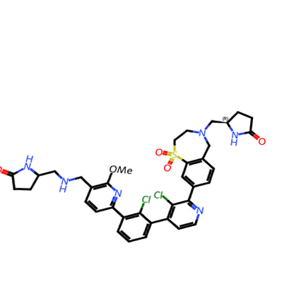 COc1nc(-c2cccc(-c3ccnc(-c4ccc5c(c4)S(=O)(=O)CCN(C[C@H]4CCC(=O)N4)C5)c3Cl)c2Cl)ccc1CNCC1CCC(=O)N1